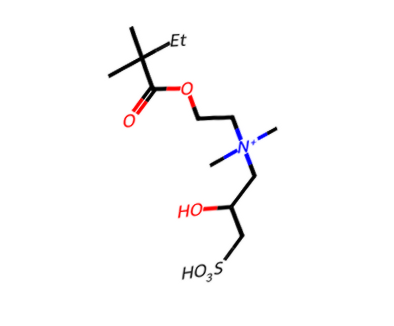 CCC(C)(C)C(=O)OCC[N+](C)(C)CC(O)CS(=O)(=O)O